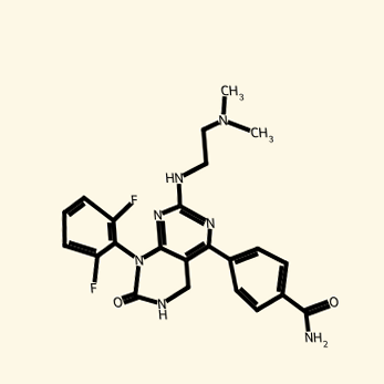 CN(C)CCNc1nc(-c2ccc(C(N)=O)cc2)c2c(n1)N(c1c(F)cccc1F)C(=O)NC2